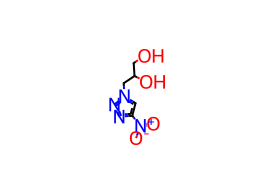 O=[N+]([O-])c1cn(CC(O)CO)nn1